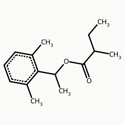 CCC(C)C(=O)OC(C)c1c(C)cccc1C